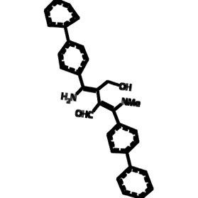 CN/C(=C(C=O)\C(CO)=C(/N)c1ccc(-c2ccccc2)cc1)c1ccc(-c2ccccc2)cc1